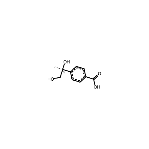 C[C@@](O)(CO)c1ccc(C(=O)O)cc1